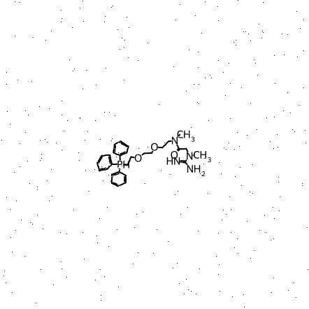 CN(CC(=O)N(C)CCOCCOCC[PH](c1ccccc1)(c1ccccc1)c1ccccc1)C(=N)N